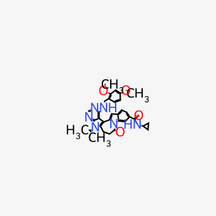 COc1ccc(CNc2ncnc3c2c2c(n3C(C)C)CCC(=O)n3c-2cc2ccc(C(=O)NC4CC4)cc23)c(OC)c1